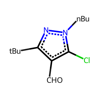 CCCCn1nc(C(C)(C)C)c(C=O)c1Cl